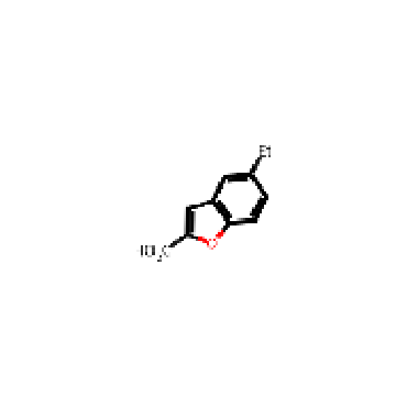 CCc1ccc2oc(C(=O)O)cc2c1